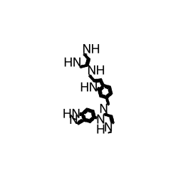 C=N/C=C\C(=N/Cc1ccc2cc(CN/C(C=N)=C/C=N)[nH]c2c1)Nc1ccc2[nH]ncc2c1